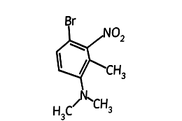 Cc1c(N(C)C)ccc(Br)c1[N+](=O)[O-]